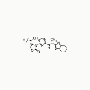 CC(Nc1nccc(N2C(=O)OC[C@@H]2C(C)C)n1)c1nc2c(s1)CCCC2